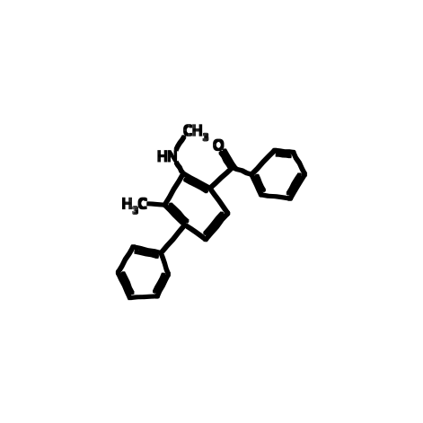 CNc1c(C(=O)c2ccccc2)ccc(-c2ccccc2)c1C